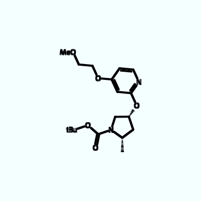 COCCOc1ccnc(O[C@@H]2C[C@H](C)N(C(=O)OC(C)(C)C)C2)c1